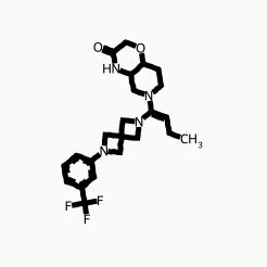 CC/C=C(/N1CCC2OCC(=O)NC2C1)N1CC2(C1)CN(c1cccc(C(F)(F)F)c1)C2